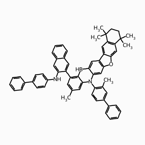 Cc1cc(-c2cc3ccccc3cc2Nc2ccc(-c3ccccc3)cc2)c2c(c1)N(c1ccc(-c3ccccc3)cc1C)c1cc3oc4cc5c(cc4c3cc1B2)C(C)(C)CCC5(C)C